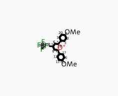 COc1ccc(-c2cc(C)cc(-c3ccc(OC)cc3)[o+]2)cc1.F[B-](F)(F)F